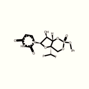 CC(C)OP1(=O)OC[C@@]2(C(F)F)O[C@@H](n3ccc(=O)[nH]c3=O)[C@@H](O)[C@@H]2O1